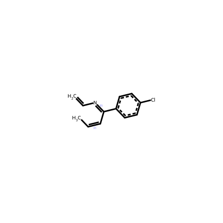 C=C/N=C(\C=C/C)c1ccc(Cl)cc1